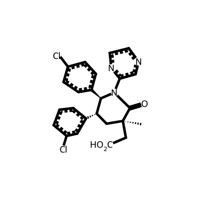 C[C@]1(CC(=O)O)C[C@H](c2cccc(Cl)c2)[C@@H](c2ccc(Cl)cc2)N(c2cnccn2)C1=O